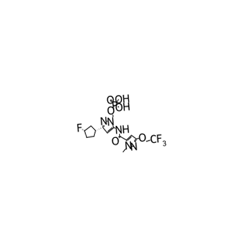 Cn1nc(OCC(F)(F)F)cc1C(=O)Nc1cc([C@@H]2CC[C@H](F)C2)nn1COP(=O)(O)O